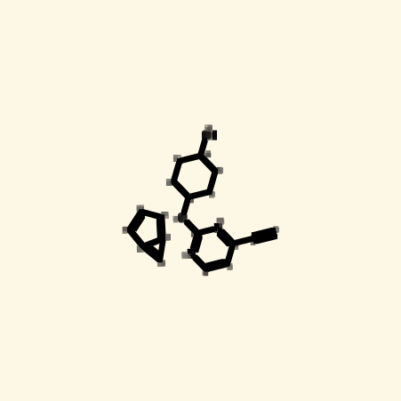 C#Cc1ccnc(OC2CCC(O)CC2)n1.c1cc2cc-2c1